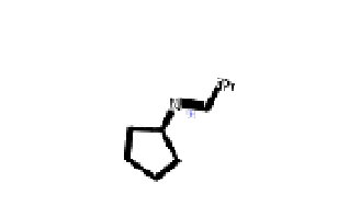 CC(C)/C=N/C1CCCC1